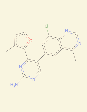 Cc1ccoc1-c1nc(N)ncc1-c1cc(Cl)c2ncnc(C)c2c1